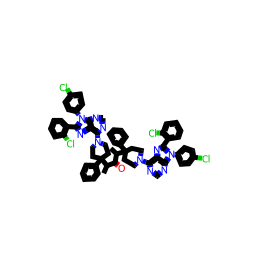 CC(C(=O)C(C)C1(c2ccccc2)CCN(c2ncnc3c2nc(-c2ccccc2Cl)n3-c2ccc(Cl)cc2)CC1)C1(c2ccccc2)CCN(c2ncnc3c2nc(-c2ccccc2Cl)n3-c2ccc(Cl)cc2)CC1